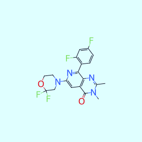 Cc1nc2c(-c3ccc(F)cc3F)nc(N3CCOC(F)(F)C3)cc2c(=O)n1C